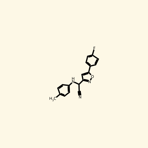 Cc1ccc(NC(C#N)c2cc(-c3ccc(F)cc3)on2)cc1